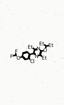 CCc1nc(-c2ccc(OC(F)F)cc2Cl)c(CC)nc1OC(CC)CC